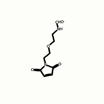 O=[C]NCCOCCN1C(=O)C=CC1=O